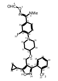 CN/C(=N\OC=O)c1ccc(N2CCC(OCc3c(-c4ccccc4C(F)(F)F)noc3C3CC3)CC2)c(F)c1